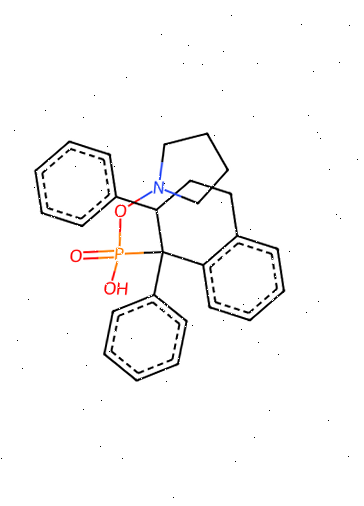 O=P(O)(ON1CCCC1)C1(c2ccccc2)c2ccccc2CCC1c1ccccc1